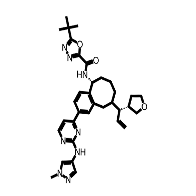 C=CC(C1CCC[C@@H](NC(=O)c2nnc(C(C)(C)C)o2)c2ccc(-c3ccnc(Nc4cnn(C)c4)n3)cc2C1)[C@@H]1CCOC1